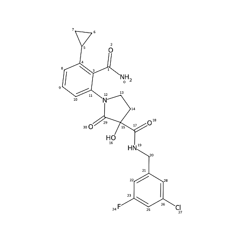 NC(=O)c1c(C2CC2)cccc1N1CCC(O)(C(=O)NCc2cc(F)cc(Cl)c2)C1=O